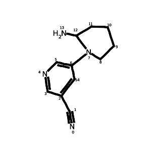 N#Cc1cncc(N2CCCCC2N)c1